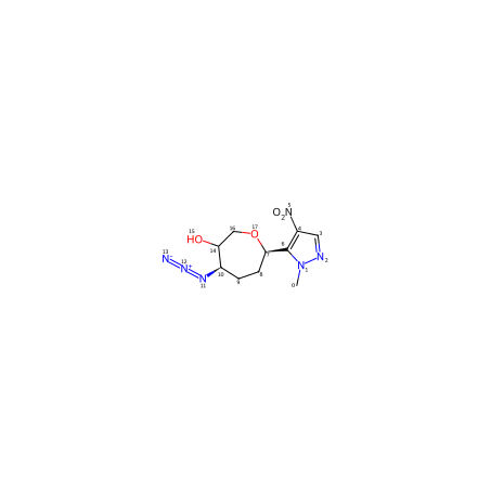 Cn1ncc([N+](=O)[O-])c1[C@H]1CC[C@@H](N=[N+]=[N-])C(O)CO1